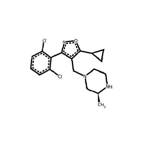 C[C@H]1CN(Cc2c(-c3c(Cl)cccc3Cl)noc2C2CC2)CCN1